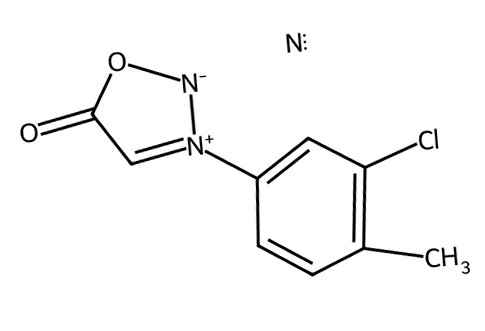 Cc1ccc(-[n+]2cc(=O)o[n-]2)cc1Cl.[N]